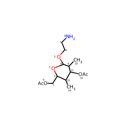 CC(=O)OCC1OC(OCCN)C(C)C(OC(C)=O)C1C